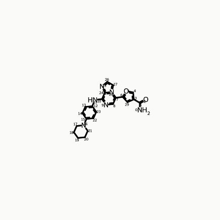 NC(=O)c1coc(-c2cnc(Nc3ccc(N4CCCCC4)cc3)c3nccn23)c1